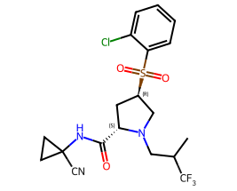 CC(CN1C[C@H](S(=O)(=O)c2ccccc2Cl)C[C@H]1C(=O)NC1(C#N)CC1)C(F)(F)F